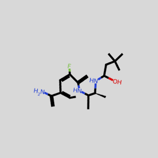 C=C(NC(C)[C@H](C)NC(O)CC(C)(C)C)/C(F)=C\C(=C/C)C(=C)N